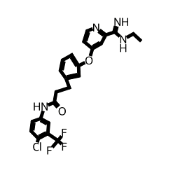 CCNC(=N)c1cc(Oc2cccc(CCC(=O)Nc3ccc(Cl)c(C(F)(F)F)c3)c2)ccn1